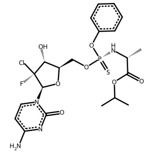 CC(C)OC(=O)[C@@H](C)N[P@](=S)(OC[C@H]1O[C@@H](n2ccc(N)nc2=O)[C@@](F)(Cl)[C@@H]1O)Oc1ccccc1